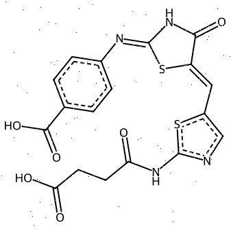 O=C(O)CCC(=O)Nc1ncc(C=C2SC(=Nc3ccc(C(=O)O)cc3)NC2=O)s1